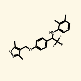 Cc1cccc(NC(c2ccc(OCc3c(C)noc3C)cc2)C(F)(F)F)c1C